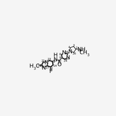 CNC1CCN(c2ncc(C(=O)Nc3cc(F)c4nc(C)cn4c3)cn2)C1